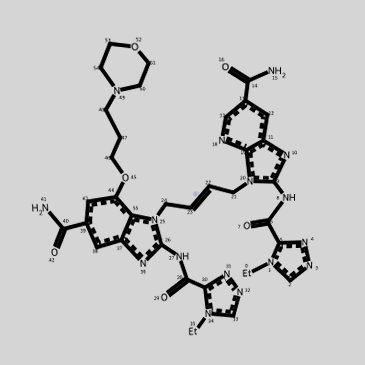 CCn1cnnc1C(=O)Nc1nc2cc(C(N)=O)cnc2n1C/C=C/Cn1c(NC(=O)c2nncn2CC)nc2cc(C(N)=O)cc(OCCCN3CCOCC3)c21